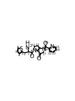 NC(Cc1cccs1)C(=O)N1CCC2C1C(=O)CN2C(=O)c1ccccn1